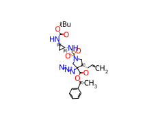 C=CC[C@H]1CN(S(=O)(=O)N[C@@H]2C[C@H]2NC(=O)OC(C)(C)C)CC1(N=[N+]=[N-])C(=O)O[C@H](C)c1ccccc1